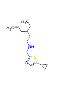 C=CCC(CC)CCNCc1ncc(C2CC2)s1